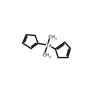 [CH3][Ta]([CH3])([C]1=CC=CC1)[C]1=CC=CC1